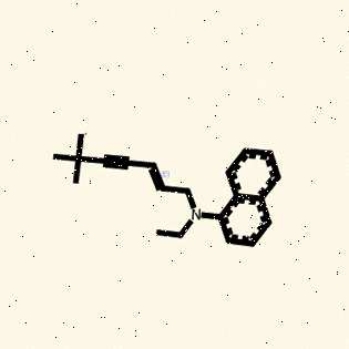 [CH2]C(C)(C)C#C/C=C/CN(CC)c1cccc2ccccc12